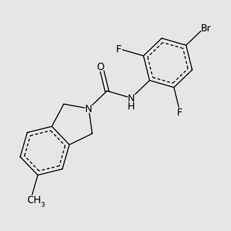 Cc1ccc2c(c1)CN(C(=O)Nc1c(F)cc(Br)cc1F)C2